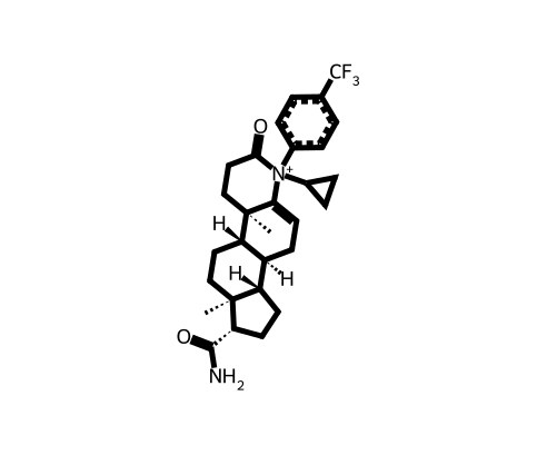 C[C@]12CC[C@H]3[C@@H](CC=C4[C@]3(C)CCC(=O)[N+]4(c3ccc(C(F)(F)F)cc3)C3CC3)[C@@H]1CC[C@@H]2C(N)=O